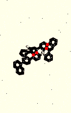 c1ccc(N(c2ccc(-c3ccc(-c4cccc5ccccc45)cc3)cc2)c2ccccc2-c2ccc3c(c2)sc2ccccc23)c(-c2ccc3ccccc3c2)c1